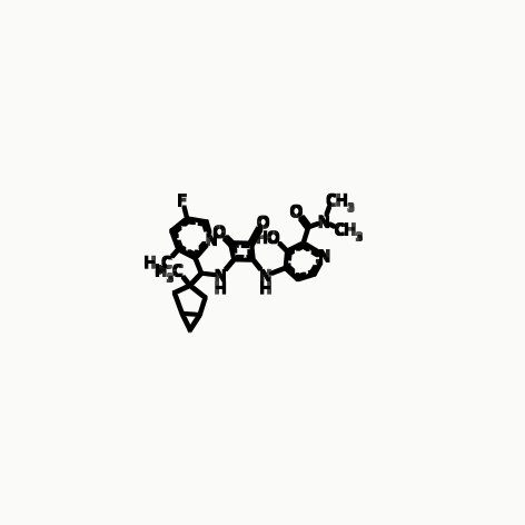 Cc1cc(F)cnc1C(Nc1c(Nc2ccnc(C(=O)N(C)C)c2O)c(=O)c1=O)C1(C)CC2CC2C1